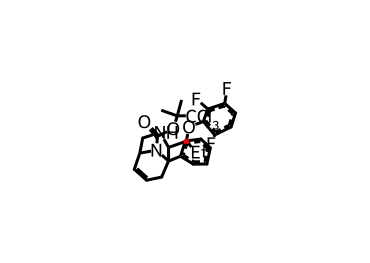 CCC(Oc1c(F)ccc(F)c1F)C1NCC2C=CCC1(c1ccccc1)N2C(=O)OC(C)(C)C(Cl)(Cl)Cl